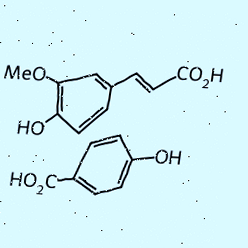 COc1cc(C=CC(=O)O)ccc1O.O=C(O)c1ccc(O)cc1